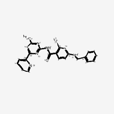 Cc1nc(NC(=O)c2ccc(NCc3ccccc3)nc2C)nc(-c2ccccn2)n1